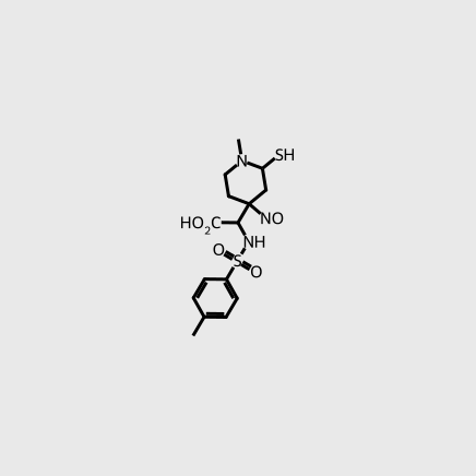 Cc1ccc(S(=O)(=O)NC(C(=O)O)C2(N=O)CCN(C)C(S)C2)cc1